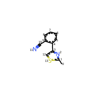 Cc1nc(-c2ccccc2C#N)cs1